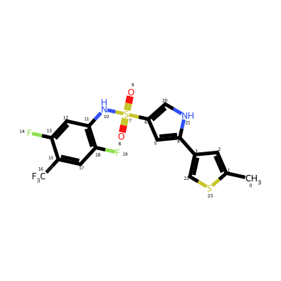 Cc1cc(-c2cc(S(=O)(=O)Nc3cc(F)c(C(F)(F)F)cc3F)c[nH]2)cs1